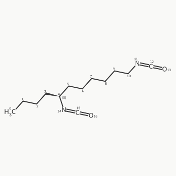 CCCC[C@@H](CCCCCCN=C=O)N=C=O